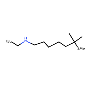 CSC(C)(C)CCCCCNCC(C)(C)C